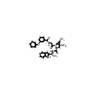 C[C@@H]1C2N(C(=O)CNC(=O)c3cccc(Oc4ccccc4)c3)[C@H](C(=O)N[C@H](C)c3cc4cnccc4[nH]3)C[C@@]21C